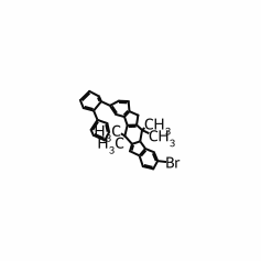 CC1(C)C2=Cc3ccc(Br)cc3C2C(C)(C)C2=C1c1cc(-c3ccccc3-c3ccccc3)ccc1C2